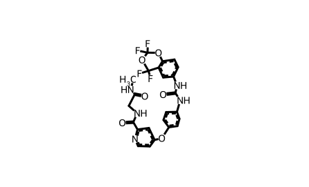 CNC(=O)CNC(=O)c1cc(Oc2ccc(NC(=O)Nc3ccc4c(c3)C(F)(F)OC(F)(F)O4)cc2)ccn1